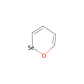 C1=CO[Se]C=C1